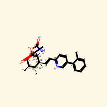 Cc1ccccc1-c1ccc(/C=C/[C@H]2[C@H](C)[C@@H](C)C[C@]34OC(=O)N[C@]23[C@@H](C)OC4=O)nc1